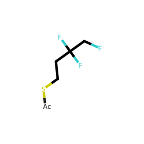 CC(=O)SCCC(F)(F)CF